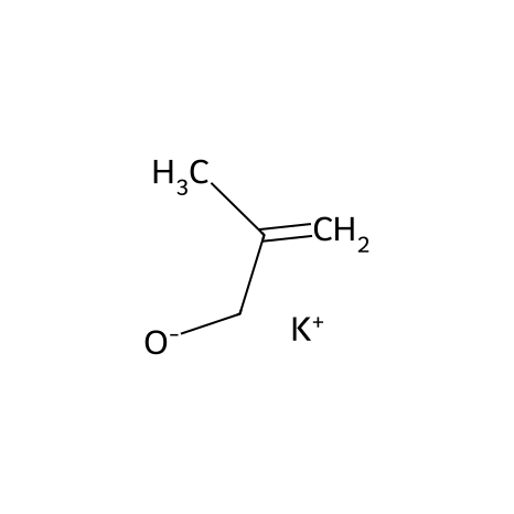 C=C(C)C[O-].[K+]